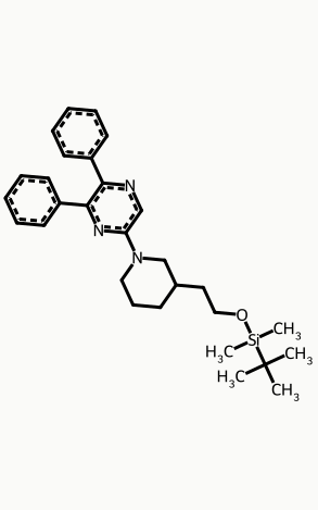 CC(C)(C)[Si](C)(C)OCCC1CCCN(c2cnc(-c3ccccc3)c(-c3ccccc3)n2)C1